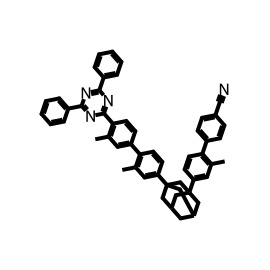 Cc1cc(C23CC4CC(C2)CC(c2ccc(-c5ccc(-c6nc(-c7ccccc7)nc(-c7ccccc7)n6)c(C)c5)c(C)c2)(C4)C3)ccc1-c1ccc(C#N)cc1